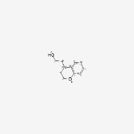 OCCN1CCOc2ccccc21